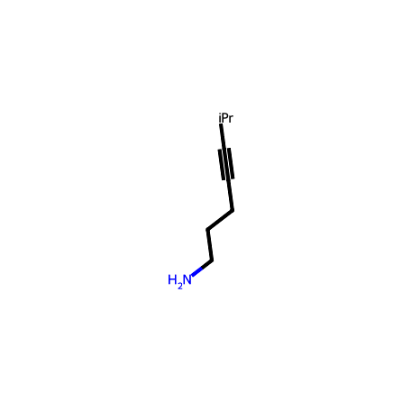 CC(C)C#CCCCN